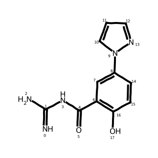 N=C(N)NC(=O)c1cc(-n2cccn2)ccc1O